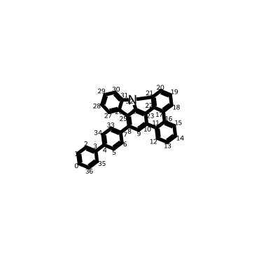 c1ccc(-c2ccc(-c3cc4c5ccccc5c5cccc6c5c4c4c3c3ccccc3n64)cc2)cc1